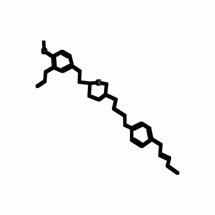 CC/C=C/Cc1ccc(CCCCC2CCC(CCc3ccc(OC)c(CCC)c3)CC2)cc1